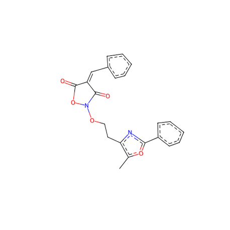 Cc1oc(-c2ccccc2)nc1CCON1OC(=O)C(=Cc2ccccc2)C1=O